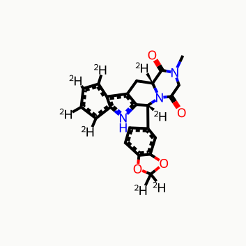 [2H]c1c([2H])c([2H])c2c3c([nH]c2c1[2H])[C@@]([2H])(c1ccc2c(c1)OC([2H])([2H])O2)N1C(=O)CN(C)C(=O)[C@@]1([2H])C3